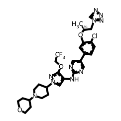 C[C@@H](Cn1cnnn1)Oc1cc(-c2cnc(Nc3cn(C4CCN(C5CCOCC5)CC4)nc3OCC(F)(F)F)nc2)ccc1Cl